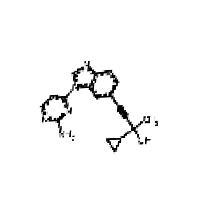 CC(O)(C#Cc1ccc2ncn(-c3ccnc(N)n3)c2c1)C1CC1